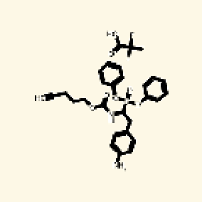 C#CCCCOC(=O)NC(Cc1ccc(N)cc1)P(=O)(Oc1ccccc1)Oc1ccccc1.O=C(O)C(F)(F)F